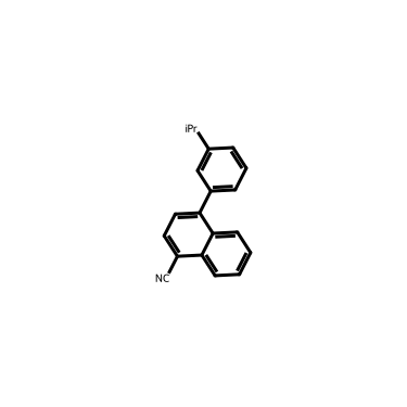 CC(C)c1cccc(-c2ccc(C#N)c3ccccc23)c1